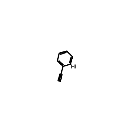 C#Cc1ccccc1.I